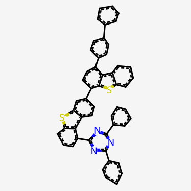 c1ccc(-c2ccc(-c3ccc(-c4ccc5c(c4)sc4cccc(-c6nc(-c7ccccc7)nc(-c7ccccc7)n6)c45)c4sc5ccccc5c34)cc2)cc1